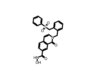 O=C(NO)c1ccc2ccn(Cc3ccccc3CS(=O)(=O)c3ccccc3)c(=O)c2c1